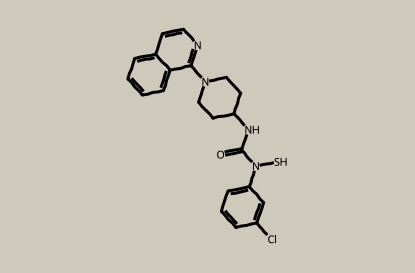 O=C(NC1CCN(c2nccc3ccccc23)CC1)N(S)c1cccc(Cl)c1